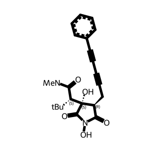 CNC(=O)[C@@H](C(C)(C)C)[C@]1(O)C(=O)N(O)C(=O)[C@@H]1CC#CC#Cc1ccccc1